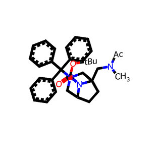 CC(=O)N(C)CC12CCC(CN(C(c3ccccc3)(c3ccccc3)c3ccccc3)C1)N2C(=O)OC(C)(C)C